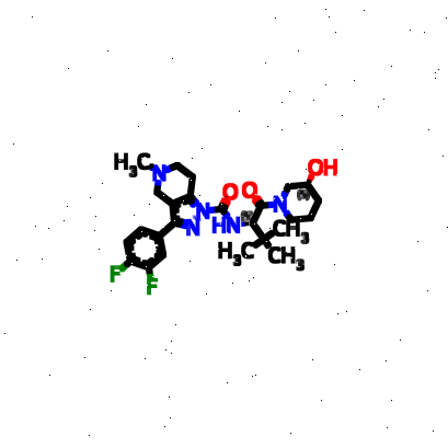 CN1CCc2c(c(-c3ccc(F)c(F)c3)nn2C(=O)N[C@H](C(=O)N2CCC[C@H](O)C2)C(C)(C)C)C1